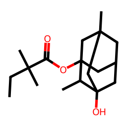 CCC(C)(C)C(=O)OC12CC3CC(C)(CC(O)(C3)C1C)C2